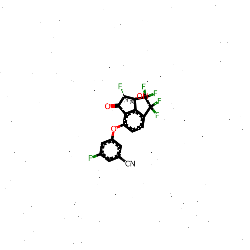 N#Cc1cc(F)cc(Oc2ccc3c4c2C(=O)[C@H](F)[C@]4(O)C(F)(F)C3(F)F)c1